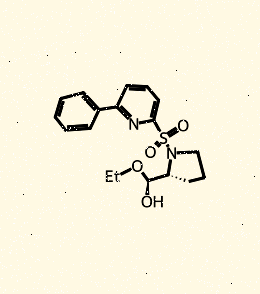 CCO[C@H](O)[C@H]1CCCN1S(=O)(=O)c1cccc(-c2ccccc2)n1